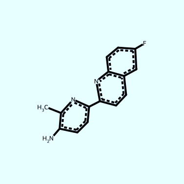 Cc1nc(-c2ccc3cc(F)ccc3n2)ccc1N